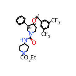 CCOC(=O)N1CCC(NC(=O)N2CC[C@H](O[C@H](C)c3cc(C(F)(F)F)cc(C(F)(F)F)c3)[C@H](c3ccccc3)C2)CC1